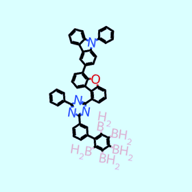 Bc1c(B)c(B)c(-c2cccc(-c3nc(-c4ccccc4)nc(-c4cccc5oc6c(-c7ccc8c(c7)c7ccccc7n8-c7ccccc7)cccc6c45)n3)c2)c(B)c1B